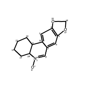 [O-][N+]1=Cc2cc3c(cc2C2CCCCC21)OCO3